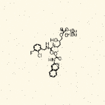 CN(C(=O)NCc1cccc(F)c1Cl)[C@@H](COC(=O)Nc1cc2ccccc2cn1)C[C@@H](O)COP(=O)(OC(C)(C)C)OC(C)(C)C